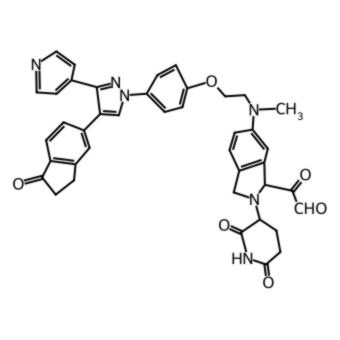 CN(CCOc1ccc(-n2cc(-c3ccc4c(c3)CCC4=O)c(-c3ccncc3)n2)cc1)c1ccc2c(c1)C(C(=O)C=O)N(C1CCC(=O)NC1=O)C2